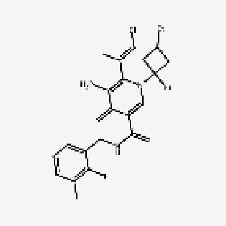 C=C(NCc1cccc(C)c1F)C1=CN(C2(CC)CC(CC)C2)C(C(C)=CCC)=C(P)C1=C